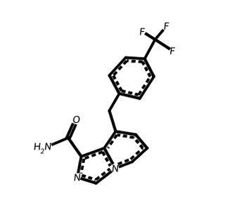 NC(=O)c1ncn2cccc(Cc3ccc(C(F)(F)F)cc3)c12